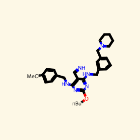 CCCCOc1nc(NCc2ccc(OC)cc2)c(C=N)c(NCc2cccc(CN3CCCCC3)c2)n1